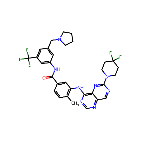 Cc1ccc(C(=O)Nc2cc(CN3CCCC3)cc(C(F)(F)F)c2)cc1Nc1ncnc2cnc(N3CCC(F)(F)CC3)nc12